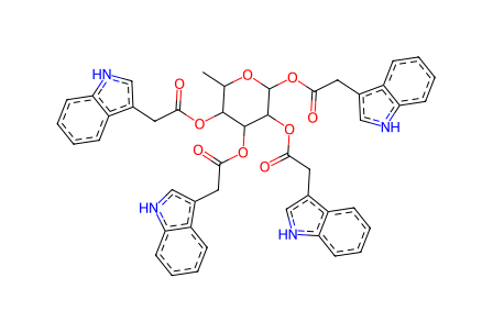 CC1OC(OC(=O)Cc2c[nH]c3ccccc23)C(OC(=O)Cc2c[nH]c3ccccc23)C(OC(=O)Cc2c[nH]c3ccccc23)C1OC(=O)Cc1c[nH]c2ccccc12